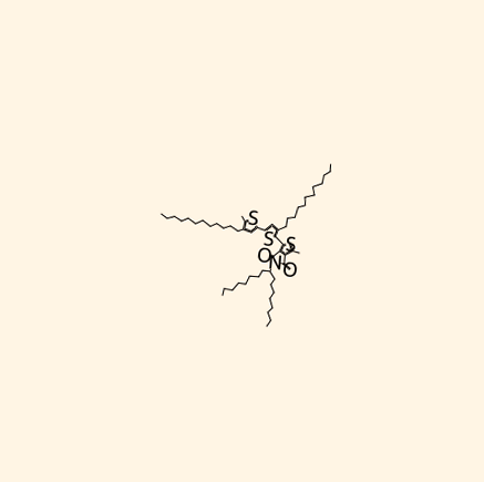 CCCCCCCCCCCCc1cc(-c2cc(CCCCCCCCCCCC)c(-c3sc(C)c4c3C(=O)N(C(CCCCCCCC)CCCCCCCC)C4=O)s2)sc1C